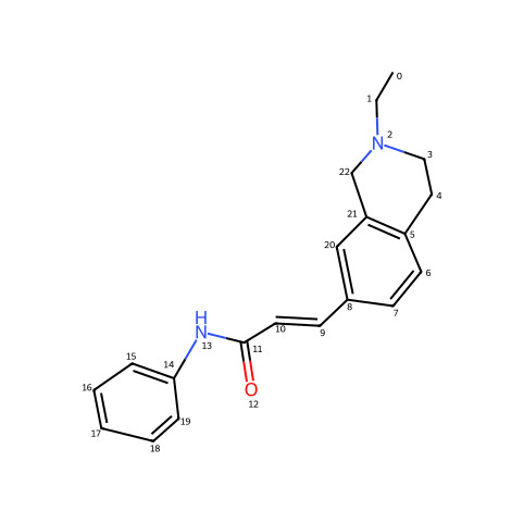 CCN1CCc2ccc(C=CC(=O)Nc3ccccc3)cc2C1